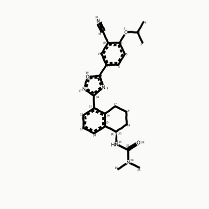 CC(C)Oc1ccc(-c2nc(-c3cccc4c3CCC[C@H]4NC(=O)N(C)C)no2)cc1C#N